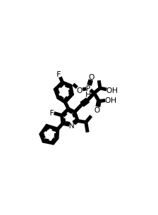 CO[PH](=O)C(C#Cc1c(C(C)C)nc(-c2ccccc2)c(F)c1-c1ccc(F)cc1)(C(=O)O)C(C)O